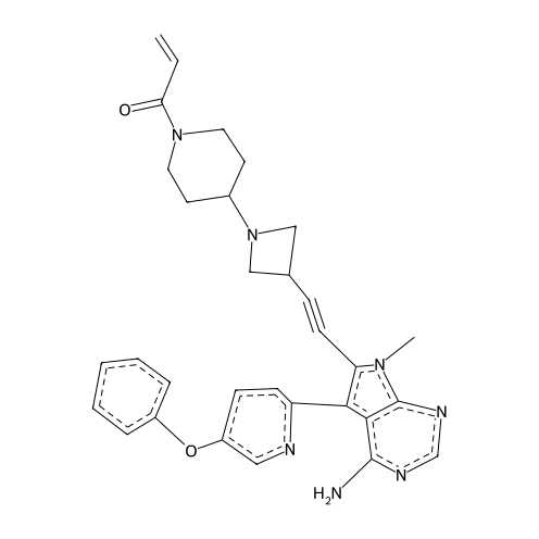 C=CC(=O)N1CCC(N2CC(C#Cc3c(-c4ccc(Oc5ccccc5)cn4)c4c(N)ncnc4n3C)C2)CC1